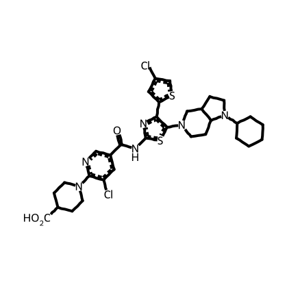 O=C(Nc1nc(-c2cc(Cl)cs2)c(N2CCC3C(CCN3C3CCCCC3)C2)s1)c1cnc(N2CCC(C(=O)O)CC2)c(Cl)c1